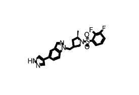 C[C@@H]1CC(Cn2ncc3cc(-c4cn[nH]c4)ccc32)CN1S(=O)(=O)c1cccc(F)c1F